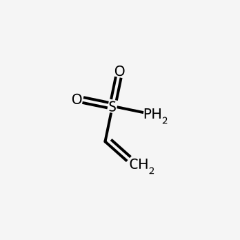 C=CS(=O)(=O)P